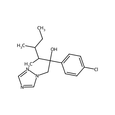 CCC(C)C(C)C(O)(Cn1cncn1)c1ccc(Cl)cc1